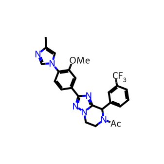 COc1cc(-c2nc3n(n2)CCN(C(C)=O)C3c2cccc(C(F)(F)F)c2)ccc1-n1cnc(C)c1